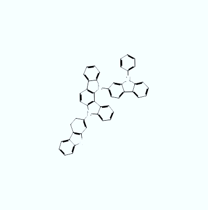 C1=C(n2c3ccccc3c3c2ccc2c4ccccc4n(-c4ccc5c6ccccc6n(-c6ccccc6)c5c4)c23)CCc2c1oc1ccccc21